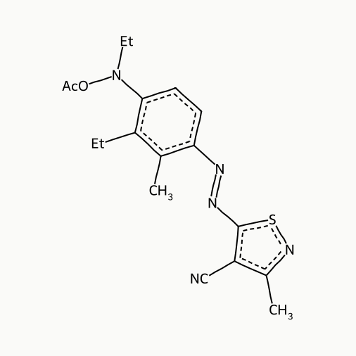 CCc1c(N(CC)OC(C)=O)ccc(N=Nc2snc(C)c2C#N)c1C